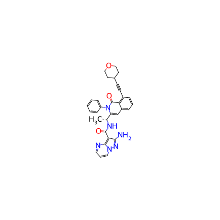 C[C@@H](NC(=O)c1c(N)nn2cccnc12)c1cc2cccc(C#CC3CCOCC3)c2c(=O)n1-c1ccccc1